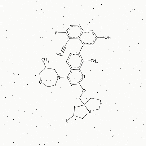 C#Cc1c(F)ccc2cc(O)cc(-c3ccc4c(N5CCOCC(C)C5)nc(OCC56CCCN5CC(F)C6)nc4c3C)c12